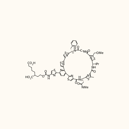 CNC(=O)C[C@@H]1NC(=O)c2csc(n2)-c2ccc(-c3nc(NC(=O)OCCC(CCCCC(=O)O)C(=O)O)cs3)nc2-c2csc(n2)-c2csc(n2)[C@H](Cc2ccccc2)NC(=O)CNC(=O)c2nc(sc2COC)C(C(C)C)NC(=O)c2nc1sc2C